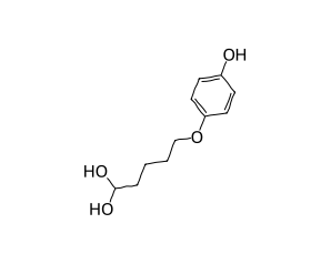 Oc1ccc(OCCCCC(O)O)cc1